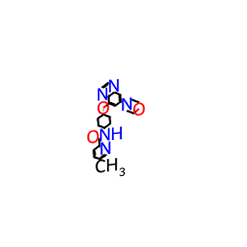 Cc1ccc(C(=O)N[C@H]2CC[C@@H](Oc3cc(N4CCOCC4)cc4nccnc34)CC2)nc1